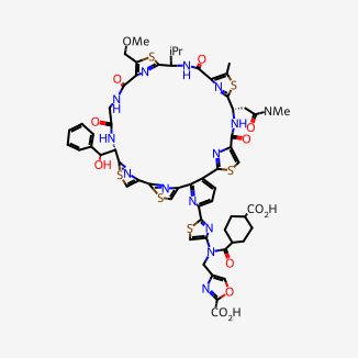 CNC(=O)C[C@@H]1NC(=O)c2csc(n2)-c2ccc(-c3nc(N(Cc4coc(C(=O)O)n4)C(=O)C4CCC(C(=O)O)CC4)cs3)nc2-c2csc(n2)-c2csc(n2)[C@H]([C@@H](O)c2ccccc2)NC(=O)CNC(=O)c2nc(sc2COC)C(C(C)C)NC(=O)c2nc1sc2C